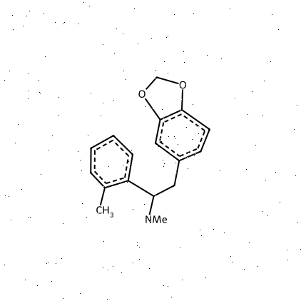 CNC(Cc1ccc2c(c1)OCO2)c1ccccc1C